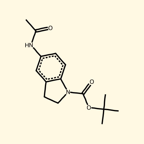 CC(=O)Nc1ccc2c(c1)CCN2C(=O)OC(C)(C)C